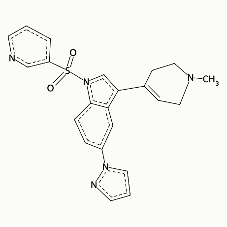 CN1CC=C(c2cn(S(=O)(=O)c3cccnc3)c3ccc(-n4cccn4)cc23)CC1